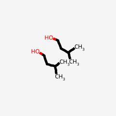 CC(C)CCO.CC(C)CCO